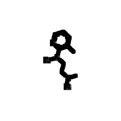 CCN(C)CCN(CC)c1ncccc1C